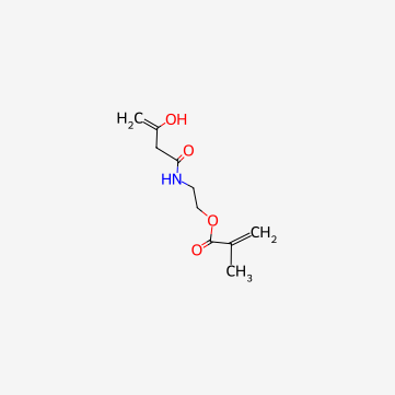 C=C(O)CC(=O)NCCOC(=O)C(=C)C